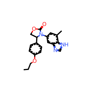 CCCOc1ccc(C2COC(=O)N2c2cc(C)c3[nH]cnc3c2)cc1